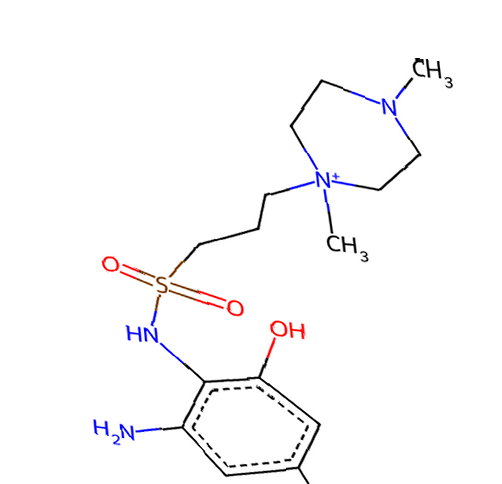 CC(=O)Nc1cc(N)c(NS(=O)(=O)CCC[N+]2(C)CCN(C)CC2)c(O)c1